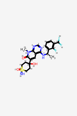 C[C@@H](Nc1ncnc2c1cc(C1(O)CCS(=N)(=O)CC1)c(=O)n2C)c1cccc(C(F)F)c1F